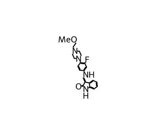 COCCN1CCN(c2ccc(N/C=C3/C(=O)Nc4ccccc43)cc2F)CC1